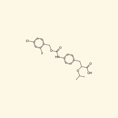 CC(C)OC(Cc1ccc(NC(=O)OCc2ccc(Cl)cc2F)cc1)C(=O)O